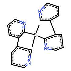 C[Si](C)(c1ncccc1-c1cccnc1)c1ncccc1-c1cccnc1